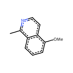 COc1cccc2c(C)nccc12